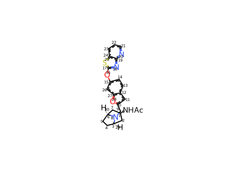 CC(=O)NC1C[C@H]2CC[C@@H](C1)N2Cc1cc2ccc(Oc3nc4ncccc4s3)cc2o1